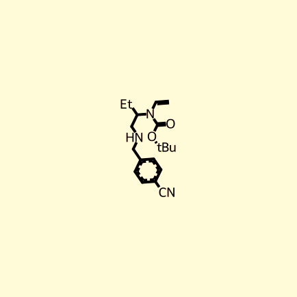 C=CN(C(=O)OC(C)(C)C)C(CC)CNCc1ccc(C#N)cc1